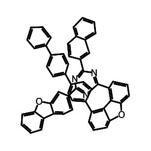 c1ccc(-c2ccc(-c3ccc(-c4cccc5oc6cccc(-c7nc(-c8ccc9ccccc9c8)nc(-c8ccc9c(c8)oc8ccccc89)n7)c6c45)cc3)cc2)cc1